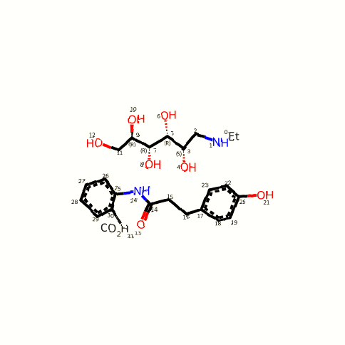 CCNC[C@H](O)[C@@H](O)[C@H](O)[C@H](O)CO.O=C(CCc1ccc(O)cc1)Nc1ccccc1C(=O)O